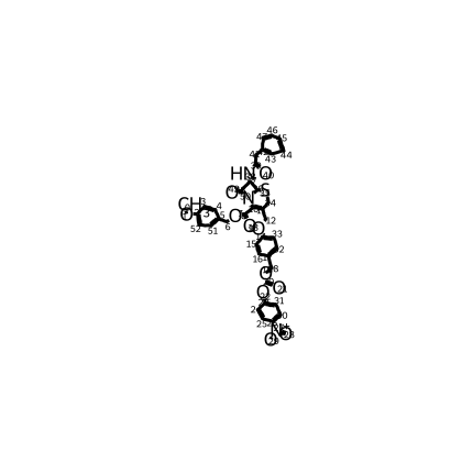 COc1ccc(COC(=O)C2=C(COc3ccc(COC(=O)Oc4ccc([N+](=O)[O-])cc4)cc3)CSC3C(NC(=O)Cc4ccccc4)C(=O)N23)cc1